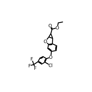 CCOC(=O)C1C2Oc3cc(Oc4ccc(C(F)(F)F)cc4Cl)ccc3C21